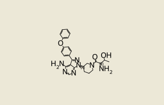 CC(O)[C@@H](N)C(=O)N1CCC[C@@H](n2nc(-c3ccc(Oc4ccccc4)cc3)c3c(N)ncnc32)C1